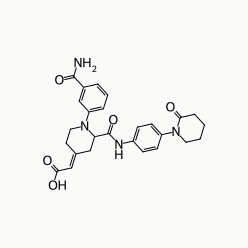 NC(=O)c1cccc(N2CCC(=CC(=O)O)CC2C(=O)Nc2ccc(N3CCCCC3=O)cc2)c1